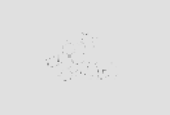 c1ccc(-c2ccc3c4c2-n2c5ccccc5n5c6cc7oc8ccccc8c7cc6c(c25)B4c2ccccc2-3)cc1